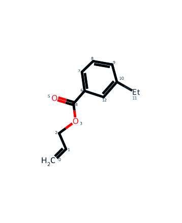 C=CCOC(=O)c1cccc(CC)c1